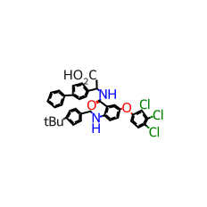 CC(C)(C)c1ccc(CNc2ccc(Oc3ccc(Cl)c(Cl)c3Cl)cc2C(=O)NC(CC(=O)O)c2ccc(-c3ccccc3)cc2)cc1